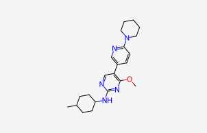 COc1nc(NC2CCC(C)CC2)ncc1-c1ccc(N2CCCCC2)nc1